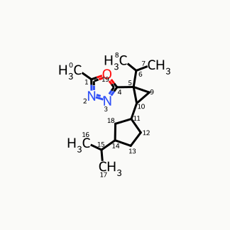 Cc1nnc(C2(C(C)C)CC2C2CCC(C(C)C)C2)o1